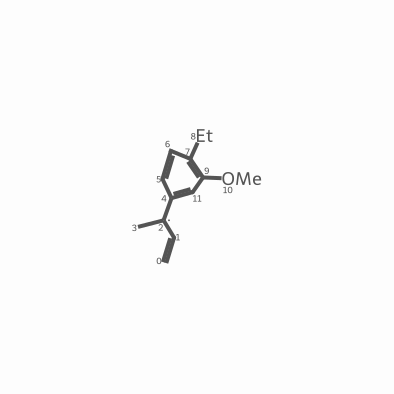 C=C[C](C)c1ccc(CC)c(OC)c1